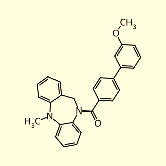 COc1cccc(-c2ccc(C(=O)N3Cc4ccccc4N(C)c4ccccc43)cc2)c1